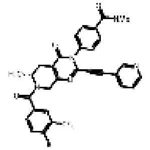 CNC(=O)c1ccc(-n2c(C#Cc3cccnc3)nc3c(c2=O)C[C@@H](C)N(C(=O)c2ccc(Br)c(C(F)(F)F)c2)C3)cc1